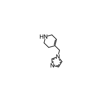 C1=C(Cn2ccnc2)CCNC1